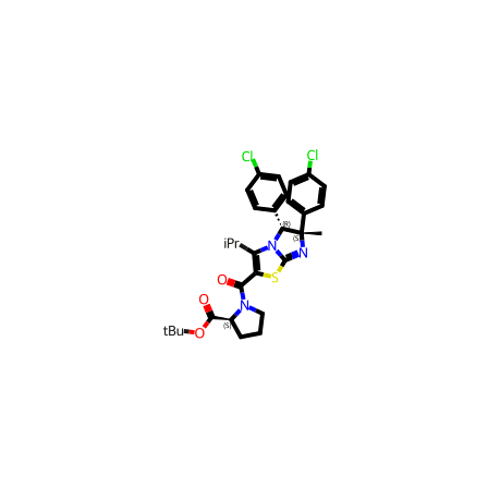 CC(C)C1=C(C(=O)N2CCC[C@H]2C(=O)OC(C)(C)C)SC2=N[C@@](C)(c3ccc(Cl)cc3)[C@@H](c3ccc(Cl)cc3)N21